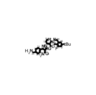 CC(C)(C)c1cc(F)c2c(=O)n(-c3nccc(-n4cc(C(N)=O)c(-c5ccc(CN)cc5)n4)c3CO)ncc2c1